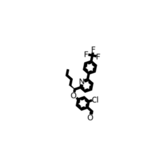 CCCC[C@H](Oc1ccc(C=O)c(Cl)c1)c1cccc(-c2ccc(C(F)(F)F)cc2)n1